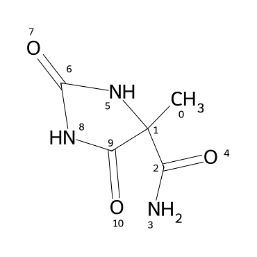 CC1(C(N)=O)NC(=O)NC1=O